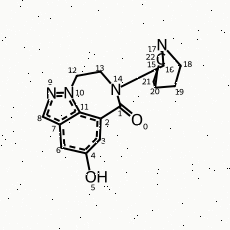 O=C1c2cc(O)cc3cnn(c23)CCN1C1CN2CCC1CC2